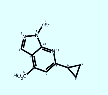 CCCn1ncc2c(C(=O)O)cc(C3CC3)nc21